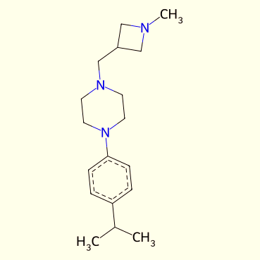 CC(C)c1ccc(N2CCN(CC3CN(C)C3)CC2)cc1